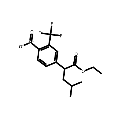 CCOC(=O)C(CC(C)C)c1ccc([N+](=O)[O-])c(C(F)(F)F)c1